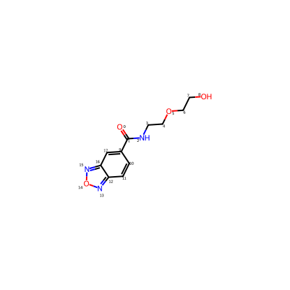 O=C(NCCOCCO)c1ccc2nonc2c1